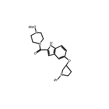 CON1CCN(C(=O)c2cc3cc(OC4CCN(C(C)C)C4)ccc3[nH]2)CC1